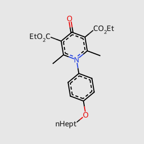 CCCCCCCOc1ccc(-n2c(C)c(C(=O)OCC)c(=O)c(C(=O)OCC)c2C)cc1